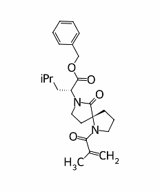 C=C(C)C(=O)N1CCC[C@]12CCN([C@H](CC(C)C)C(=O)OCc1ccccc1)C2=O